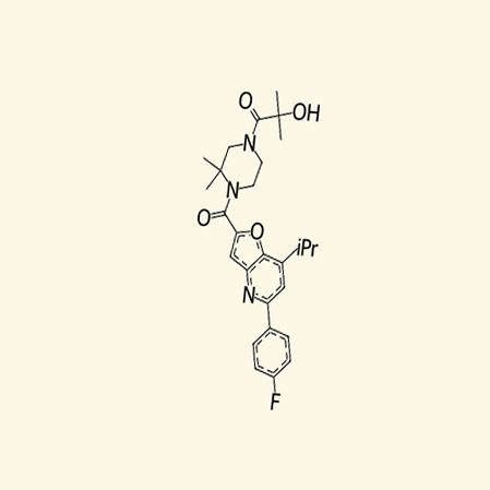 CC(C)c1cc(-c2ccc(F)cc2)nc2cc(C(=O)N3CCN(C(=O)C(C)(C)O)CC3(C)C)oc12